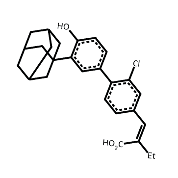 CCC(=Cc1ccc(-c2ccc(O)c(C34CC5CC(CC(C5)C3)C4)c2)c(Cl)c1)C(=O)O